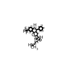 CNCCCS(=O)(=O)NC1COC2c3cc(C(F)(F)F)ccc3NC(c3ccccc3)C2C1